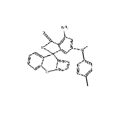 Cc1ccc(N(C)c2cc(N)c3c(c2)C2(OC3=O)c3ccccc3Oc3ccccc32)cc1